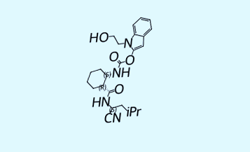 CC(C)C[C@@H](C#N)NC(=O)[C@@H]1CCCC[C@@H]1NC(=O)Oc1cc2ccccc2n1CCO